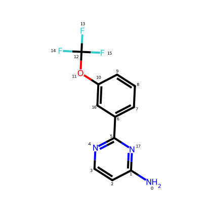 Nc1ccnc(-c2cccc(OC(F)(F)F)c2)n1